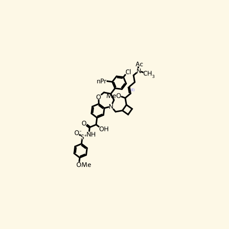 CCCc1cc(Cl)ccc1C1COc2ccc(C(O)C(=O)N[S+]([O-])c3ccc(OC)cc3)cc2N(CC2CCC2C(/C=C/CCN(C)C(C)=O)OC)C1